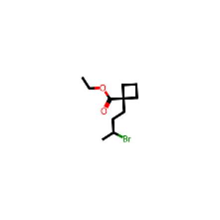 CCOC(=O)C1(CCC(C)Br)CCC1